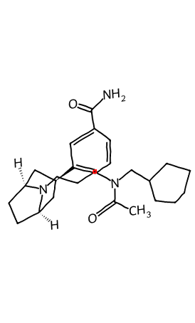 CC(=O)N(CCCN1[C@@H]2CC[C@H]1C[C@@H](c1cccc(C(N)=O)c1)C2)CC1CCCCC1